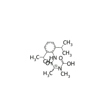 CC(C)c1cccc(C(C)C)c1NC(=O)[C@H](C)N(C)C(=O)O